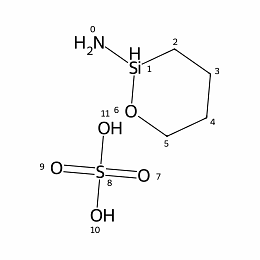 N[SiH]1CCCCO1.O=S(=O)(O)O